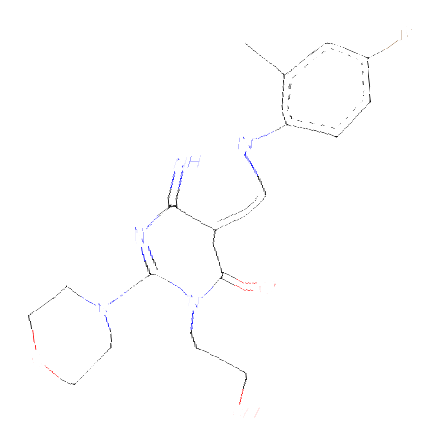 Cc1cc(Br)ccc1N/C=C1\C(=N)N=C(N2CCOCC2)N(CCO)C1=O